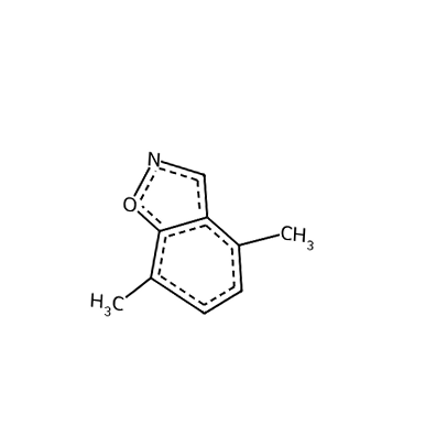 Cc1ccc(C)c2oncc12